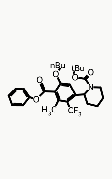 CCCCOc1cc(C2CCCCN2C(=O)OC(C)(C)C)c(C(F)(F)F)c(C)c1C(=O)Oc1ccccc1